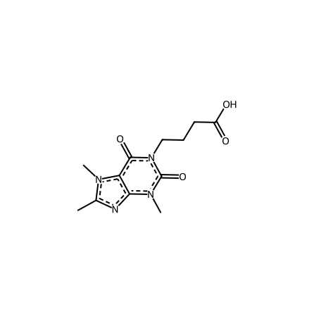 Cc1nc2c(c(=O)n(CCCC(=O)O)c(=O)n2C)n1C